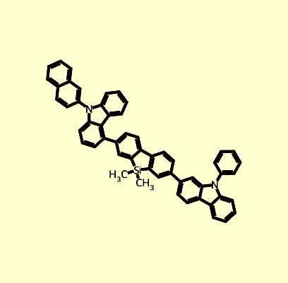 C[Si]1(C)c2cc(-c3ccc4c5ccccc5n(-c5ccccc5)c4c3)ccc2-c2ccc(-c3cccc4c3c3ccccc3n4-c3ccc4ccccc4c3)cc21